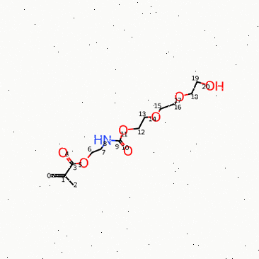 C=C(C)C(=O)OCCNC(=O)OCCOCCOCCO